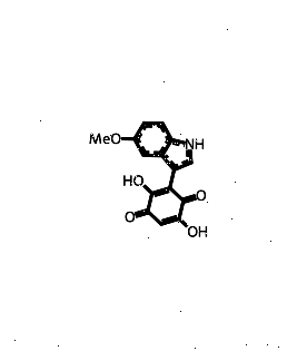 COc1ccc2[nH]cc(C3=C(O)C(=O)C=C(O)C3=O)c2c1